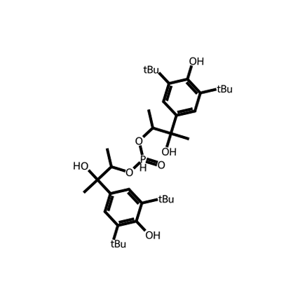 CC(O[PH](=O)OC(C)C(C)(O)c1cc(C(C)(C)C)c(O)c(C(C)(C)C)c1)C(C)(O)c1cc(C(C)(C)C)c(O)c(C(C)(C)C)c1